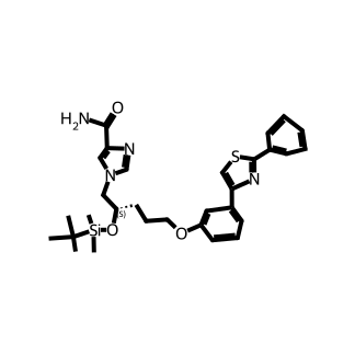 CC(C)(C)[Si](C)(C)O[C@@H](CCCOc1cccc(-c2csc(-c3ccccc3)n2)c1)Cn1cnc(C(N)=O)c1